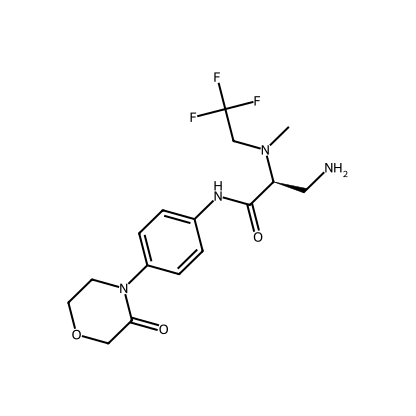 CN(CC(F)(F)F)[C@@H](CN)C(=O)Nc1ccc(N2CCOCC2=O)cc1